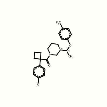 C[C@H](Oc1ccc(C(F)(F)F)cc1)[C@@H]1CCCN(C(=O)C2(c3ccc(Cl)cc3)CCC2)C1